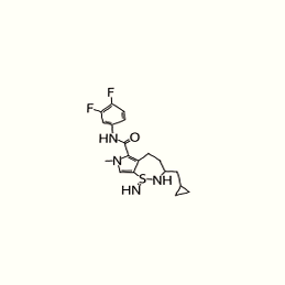 Cn1cc2c(c1C(=O)Nc1ccc(F)c(F)c1)CCC(CC1CC1)NS2=N